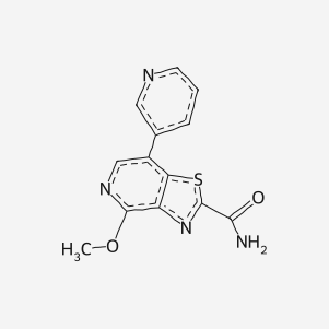 COc1ncc(-c2cccnc2)c2sc(C(N)=O)nc12